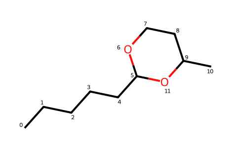 CCCCCC1OCCC(C)O1